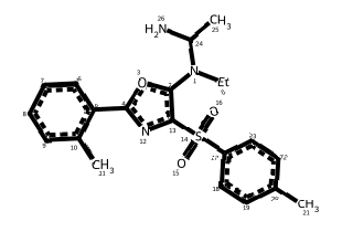 CCN(c1oc(-c2ccccc2C)nc1S(=O)(=O)c1ccc(C)cc1)C(C)N